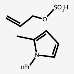 C=CCOS(=O)(=O)O.CCCn1cccc1C